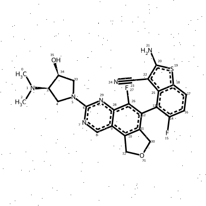 CN(C)[C@@H]1CN(c2ncc3c4c(c(-c5c(F)ccc6sc(N)c(C#N)c56)c(F)c3n2)COC4)C[C@@H]1O